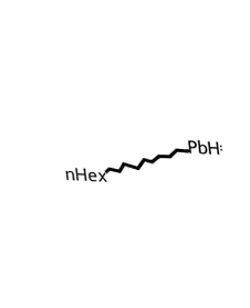 CCCCCCCCCCCCCCC[CH2][PbH]